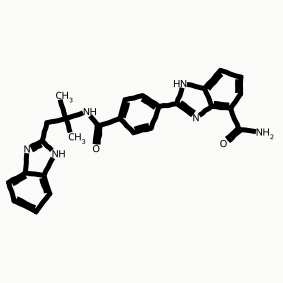 CC(C)(Cc1nc2ccccc2[nH]1)NC(=O)c1ccc(-c2nc3c(C(N)=O)cccc3[nH]2)cc1